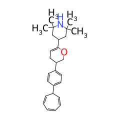 CC1(C)CC(C2=CCC(c3ccc(C4C=CC=CC=C4)cc3)CO2)CC(C)(C)N1